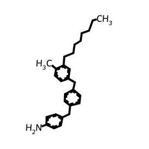 CCCCCCCCc1cc(Cc2ccc(Cc3ccc(N)cc3)cc2)ccc1C